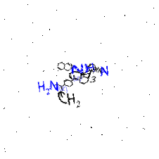 C=C/C=C(\CN)C1C=CC(/C(C)=C2\C=CCCC2C(CNC2C=CC3CCC=CC3C2)C2=C[C@H](C3=CN=C3)CC=C2)CC1